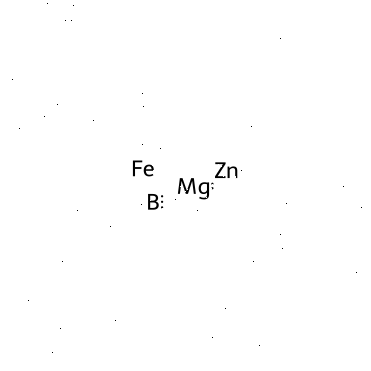 [B].[Fe].[Mg].[Zn]